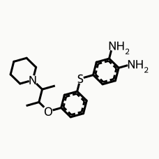 CC(Oc1cccc(Sc2ccc(N)c(N)c2)c1)C(C)N1CCCCC1